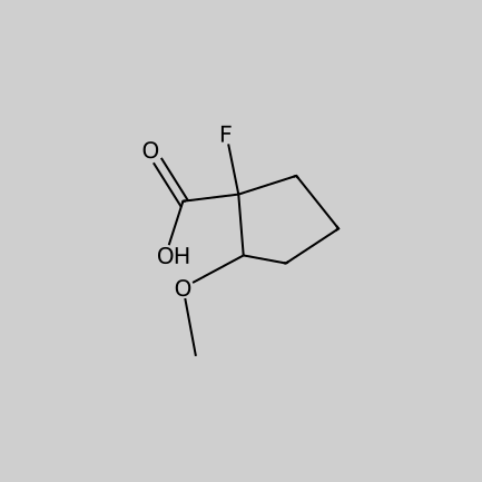 COC1CCCC1(F)C(=O)O